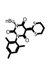 CCCCN1C(=O)C(=C2SCCCS2)C(=O)N(c2c(C)cc(C)cc2C)C1=O